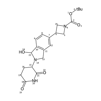 CC(C)(C)OC(=O)N1CC(c2ccc3c(c2)CN(C2CCC(=O)NC2=O)C3O)C1